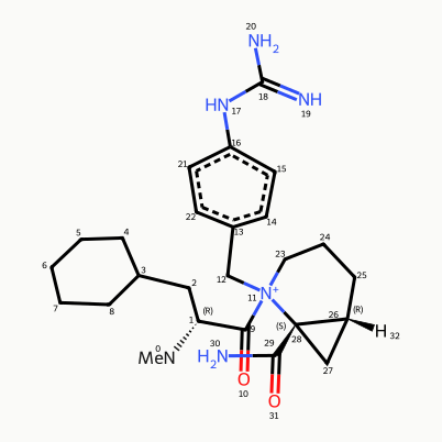 CN[C@H](CC1CCCCC1)C(=O)[N+]1(Cc2ccc(NC(=N)N)cc2)CCC[C@@H]2C[C@@]21C(N)=O